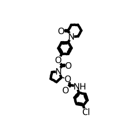 O=C(Nc1ccc(Cl)cc1)O[C@@H]1CCCN1C(=O)Oc1ccc(N2CCCCC2=O)cc1